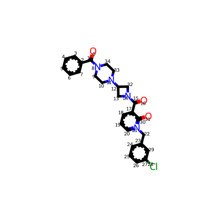 O=C(c1ccccc1)N1CCN(C2CN(C(=O)c3cccn(Cc4cccc(Cl)c4)c3=O)C2)CC1